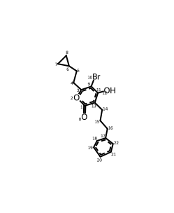 O=c1oc(CCC2CC2)c(Br)c(O)c1CCCc1ccccc1